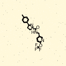 Cc1ccc(C2=NN(C(=O)NCc3ccc(OC(F)(F)F)nc3)CC2)cc1